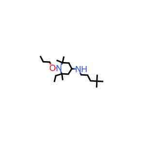 CCCON1C(C)(C)CC(NCCCC(C)(C)C)CC1(C)CC